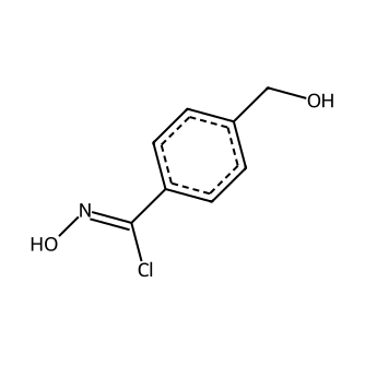 OCc1ccc(C(Cl)=NO)cc1